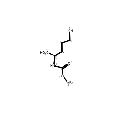 CCCCOC(=O)N[C@H](CCCC#N)C(=O)O